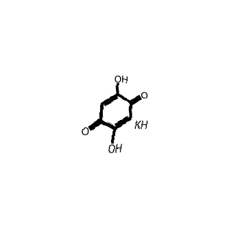 O=C1C=C(O)C(=O)C=C1O.[KH]